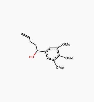 C=CCCC(O)c1cc(OC)c(OC)c(OC)c1